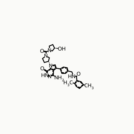 Cc1ccc(C)c(C(=O)NCc2ccc(-c3cn([C@@H]4CCN(C(=O)N5CC[C@@H](O)C5)C4)c4c(=O)[nH]nc(N)c34)cc2)c1